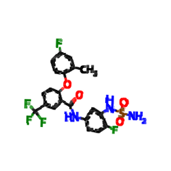 Cc1cc(F)ccc1Oc1ccc(C(F)(F)F)cc1C(=O)Nc1ccc(F)c(NS(N)(=O)=O)c1